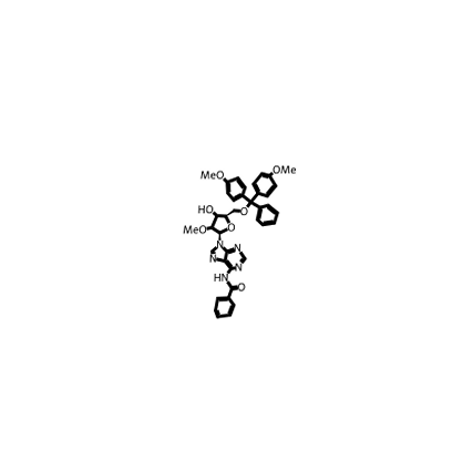 COc1ccc(C(OC[C@H]2O[C@@H](n3cnc4c(NC(=O)c5ccccc5)ncnc43)C(OC)C2O)(c2ccccc2)c2ccc(OC)cc2)cc1